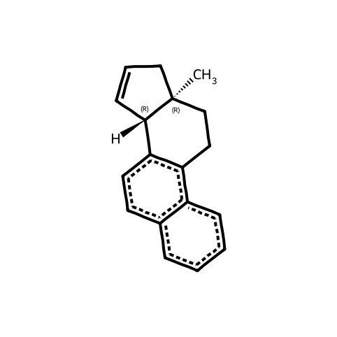 C[C@@]12CC=C[C@H]1c1ccc3ccccc3c1CC2